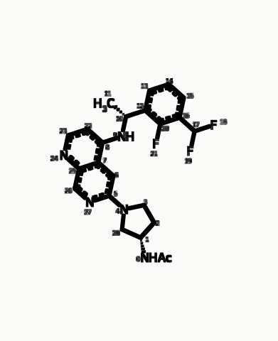 CC(=O)N[C@H]1CCN(c2cc3c(N[C@H](C)c4cccc(C(F)F)c4F)ccnc3cn2)C1